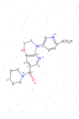 O=C(O)c1ccc(N2CCOc3cc(C(=O)N4CCCCC4)cnc32)cn1